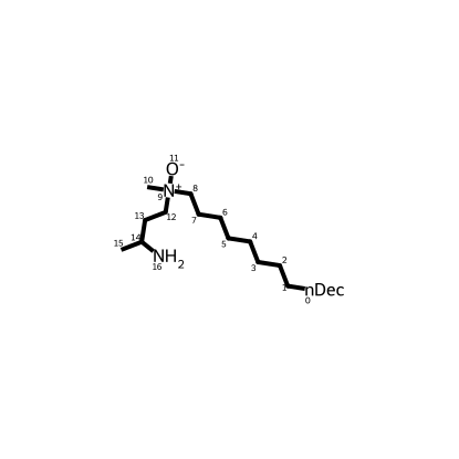 CCCCCCCCCCCCCCCCCC[N+](C)([O-])CCC(C)N